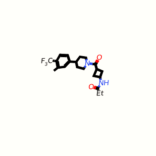 CCC(=O)NC1CC(C(=O)N2CCC(c3ccc(C(F)(F)F)c(C)c3)CC2)C1